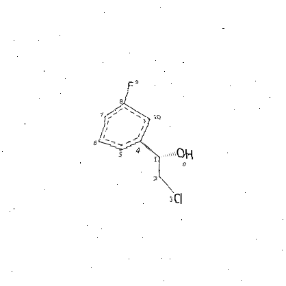 O[C@H](CCl)c1cccc(F)c1